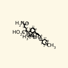 CN1CCC(OCC#Cc2cccc(N(C=O)C(CCC(N)=O)C(=O)O)c2N(C)C)CC1